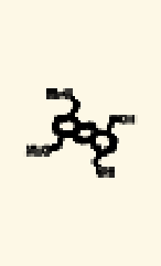 COCc1ccc(COC)c2cc3c(CO)ccc(CO)c3cc12